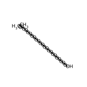 CC=C(C)C(=O)OCCOCCOCCOCCOCCOCCOCCOCCOCCOCCOCCOCCOCCOCCOCCOCCOCCOCCOCCOCCOCCOCCO